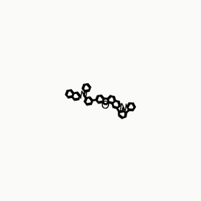 c1ccc(N(c2cccc(-c3ccc4c(c3)oc3c5cc6c7cccc8c9ccccc9n(c6cc5ccc43)c87)c2)c2ccc3ccccc3c2)cc1